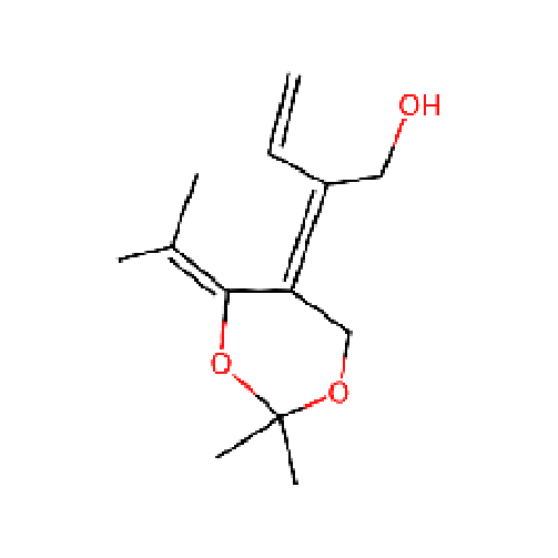 C=C/C(CO)=C1/COC(C)(C)OC1=C(C)C